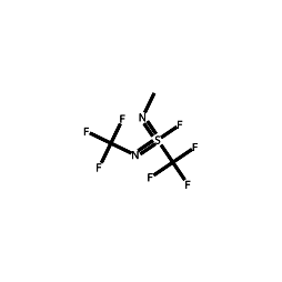 CN=S(F)(=NC(F)(F)F)C(F)(F)F